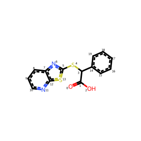 O=C(O)C(Sc1nc2cccnc2s1)c1ccccc1